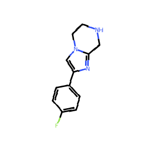 Fc1ccc(-c2cn3c(n2)CNCC3)cc1